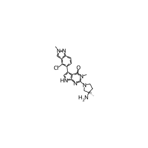 Cn1cc2c(Cl)c(-c3c[nH]c4nc(N5CC[C@@](C)(N)C5)n(C)c(=O)c34)ccc2n1